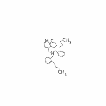 CCCCc1ccccc1CN(Cc1ccccc1CCCC)Cc1ccccc1CCCC